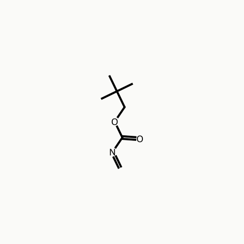 C=NC(=O)OCC(C)(C)C